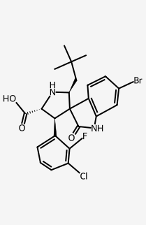 CC(C)(C)C[C@@H]1N[C@@H](C(=O)O)[C@H](c2cccc(Cl)c2F)C12C(=O)Nc1cc(Br)ccc12